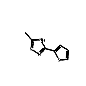 Cc1nnc(-c2cccs2)[nH]1